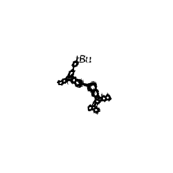 CC(C)(C)c1ccc(-c2cc3c4cc5ccccc5cc4n4c5cc6ccc(-c7ccc8cc9c(cc8c7)c7cc(-n8c%10ccccc%10c%10ccccc%108)cc8c%10cc%11ccccc%11cc%10n9c87)cc6cc5c(c2)c34)cc1